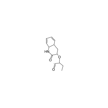 CCC([C]=O)OC1CC2C=CC=CC2NC1=O